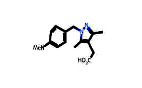 CNc1ccc(Cn2nc(C)c(CC(=O)O)c2C)cc1